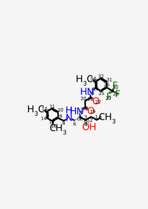 CCC[C@H](O)[C@H](CNCc1ccc(C)cc1C)NC(=O)CC(=O)Nc1cc(C(F)(F)F)ccc1C